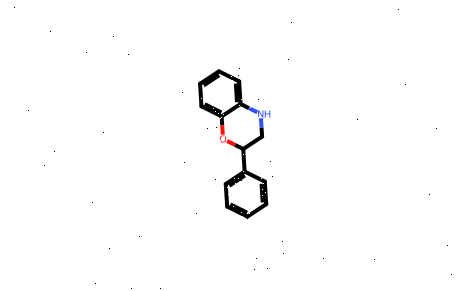 [c]1ccc(C2CNc3ccccc3O2)cc1